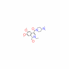 CCN1C=C(C(=O)N2CCC(N(C)C)CC2)c2cc(OC)c(OC)cc2C1C=O